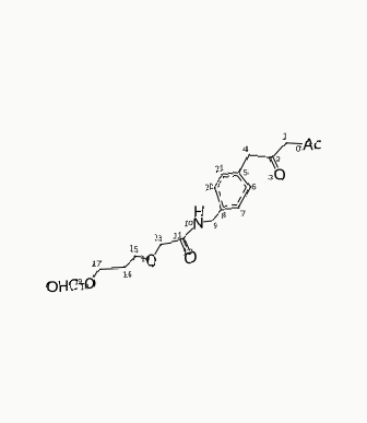 CC(=O)CC(=O)Cc1ccc(CNC(=O)COCCCOC=O)cc1